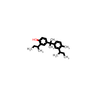 CCC(C)c1cc(C(C)(C)c2ccc(O)c(C(C)CC)c2)ccc1C